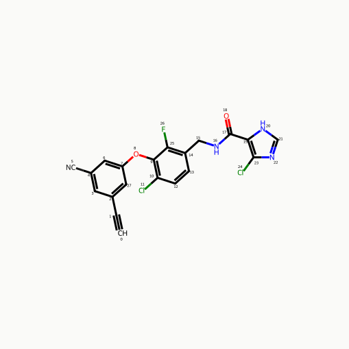 C#Cc1cc(C#N)cc(Oc2c(Cl)ccc(CNC(=O)c3[nH]cnc3Cl)c2F)c1